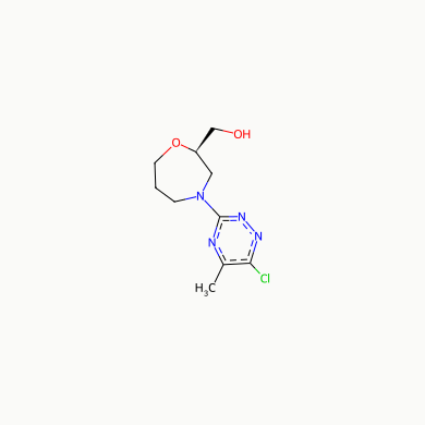 Cc1nc(N2CCCO[C@@H](CO)C2)nnc1Cl